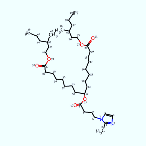 Cc1nccn1CCCC(=O)OC(CCCCCCCC(=O)OCCC(C)CCC(C)C)CCCCCCCC(=O)OCCC(C)CCC(C)C